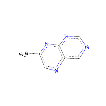 Bc1cnc2cncnc2n1